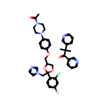 CC(=O)N1CCN(c2ccc(OCC3COC(Cn4ccnc4)(c4ccc(Cl)cc4Cl)O3)cc2)CC1.CC(C)(C(=O)c1cccnc1)c1cccnc1